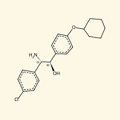 N[C@@H](c1ccc(Cl)cc1)[C@H](O)c1ccc(OC2CCCCC2)cc1